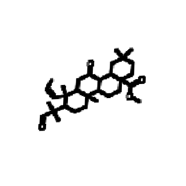 C/C=C\C1(C)C(C(C)(C)C=O)CCC2(C)C3CCC4(C(=O)OC)CCC(C)(C)CC4C3C(=O)CC12